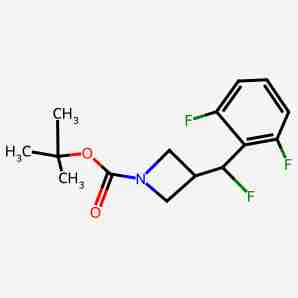 CC(C)(C)OC(=O)N1CC(C(F)c2c(F)cccc2F)C1